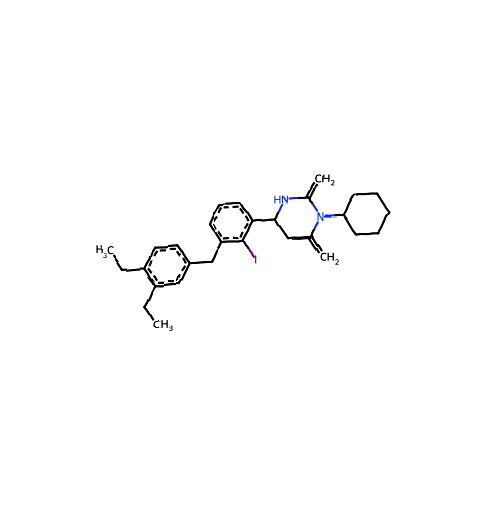 C=C1CC(c2cccc(Cc3ccc(CC)c(CC)c3)c2I)NC(=C)N1C1CCCCC1